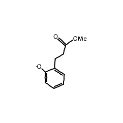 COC(=O)CCc1ccccc1[O]